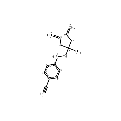 C#Cc1ccc([SiH2]OC(C)(CC=C)CC=C)cc1